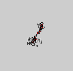 CC1(C)[C@H](Oc2cnc(C#N)c(C(F)(F)F)c2)C(C)(C)[C@H]1N1Cc2cc(C#CC3CCN(C4CN(c5ccc6c(c5)C(=O)N(C5CCC(=O)NC5=O)C6=O)C4)CC3)ccc2C1O